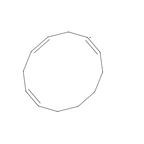 [C]1=CCCCCC=CCC=CC1